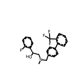 CN(Cc1ccc(-c2ccccc2C(F)(F)F)cc1)CC(O)c1ccccc1F